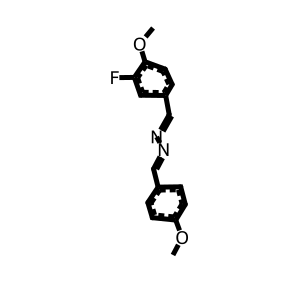 COc1ccc(C=NN=Cc2ccc(OC)c(F)c2)cc1